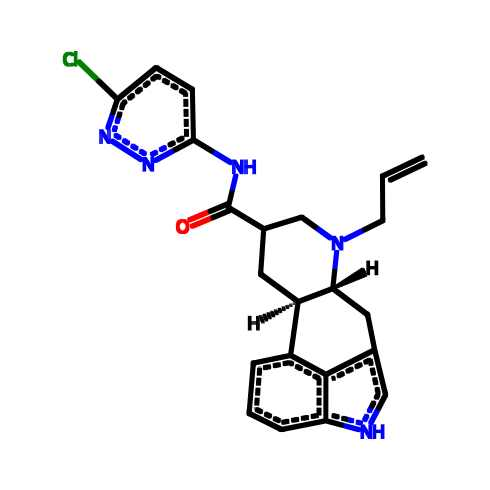 C=CCN1CC(C(=O)Nc2ccc(Cl)nn2)C[C@@H]2c3cccc4[nH]cc(c34)C[C@H]21